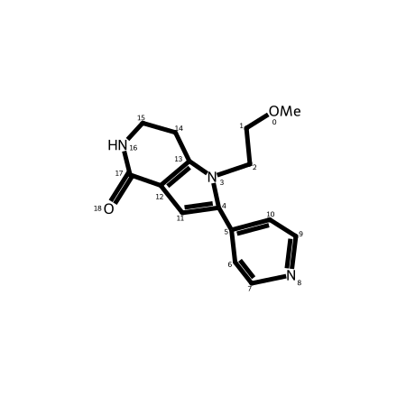 COCCn1c(-c2ccncc2)cc2c1CCNC2=O